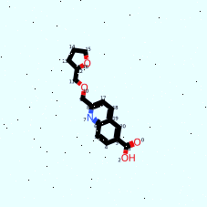 O=C(O)c1ccc2nc(COCC3CCCO3)ccc2c1